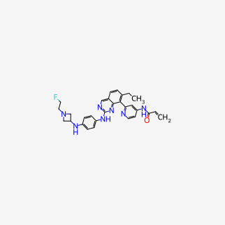 C=CC(=O)Nc1ccnc(-c2c(CC)ccc3cnc(Nc4ccc(NC5CN(CCF)C5)cc4)nc23)c1